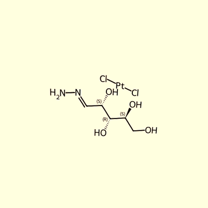 NN=C[C@H](O)[C@@H](O)[C@@H](O)CO.[Cl][Pt][Cl]